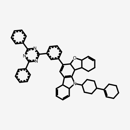 C1=CC2C3=C(C4C(OC5C=CCCC54)C(c4cccc(-c5nc(-c6ccccc6)nc(-c6ccccc6)n5)c4)=C3)N(C3CCC(C4=CCCCC4)CC3)C2C=C1